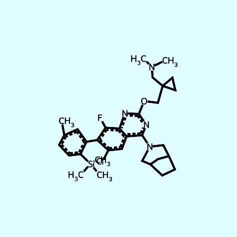 Cc1ccc([Si](C)(C)C)c(-c2c(Cl)cc3c(N4CC5CCC(C5)C4)nc(OCC4(CN(C)C)CC4)nc3c2F)c1